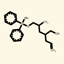 C=CCC(CO)CC(C)CO[Si](c1ccccc1)(c1ccccc1)C(C)(C)C